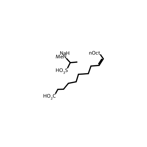 CCCCCCCC/C=C\CCCCCCCC(=O)O.CNC(C)S(=O)(=O)O.[NaH]